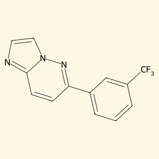 FC(F)(F)c1cccc(-c2ccc3nccn3n2)c1